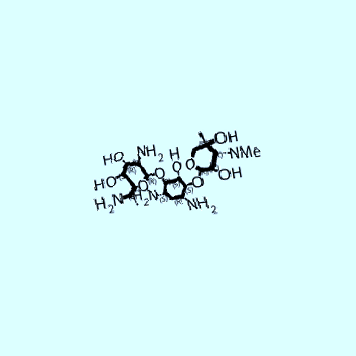 CN[C@@H]1[C@@H](O)[C@@H](O[C@@H]2[C@@H](O)[C@H](O[C@H]3O[C@H]([C@H](C)N)[C@@H](O)[C@H](O)[C@H]3N)[C@@H](N)C[C@H]2N)OC[C@]1(C)O